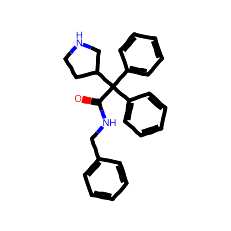 O=C(NCc1ccccc1)C(c1ccccc1)(c1ccccc1)C1CCNC1